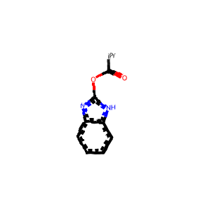 CC(C)C(=O)Oc1nc2ccccc2[nH]1